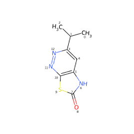 CC(C)c1cc2[nH]c(=O)sc2nn1